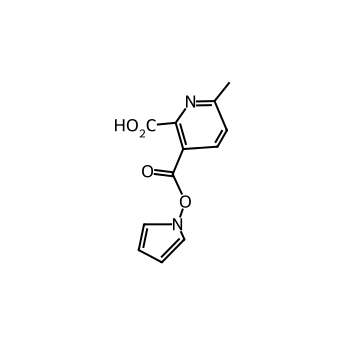 Cc1ccc(C(=O)On2cccc2)c(C(=O)O)n1